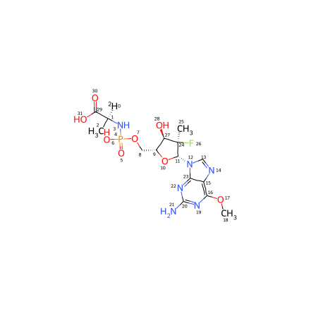 [2H][C@@](C)(NP(=O)(O)OC[C@H]1O[C@@H](n2cnc3c(OC)nc(N)nc32)[C@](C)(F)[C@@H]1O)C(=O)O